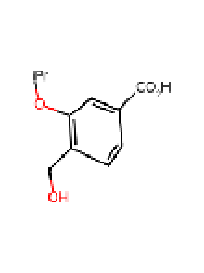 CC(C)Oc1cc(C(=O)O)ccc1CO